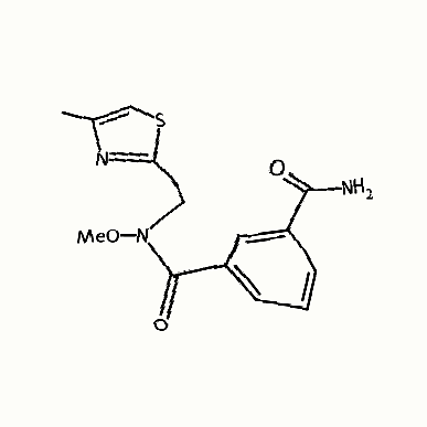 CON(Cc1nc(C)cs1)C(=O)c1cccc(C(N)=O)c1